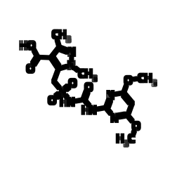 COc1cc(OC)nc(NC(=O)NS(=O)(=O)Cc2c(C(=O)O)c(C)nn2C)n1